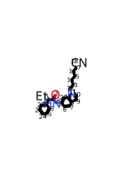 CCC(C(=O)Nc1ccc2ccn(CCCCCCC#N)c2c1)c1ccccc1